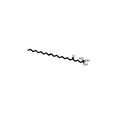 CCCCCCCCC=CCCCCCCCC(=O)CCCC(O)(O)O